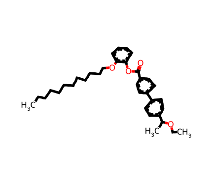 CCCCCCCCCCCCOc1ccccc1OC(=O)c1ccc(-c2ccc(C(C)OCC)cc2)cc1